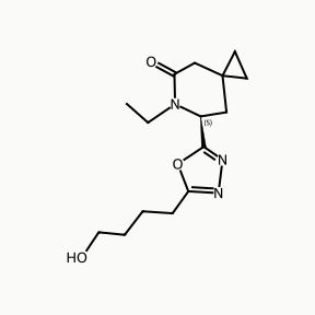 CCN1C(=O)CC2(CC2)C[C@H]1c1nnc(CCCCO)o1